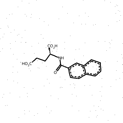 O=C(O)CC[C@H](NC(=O)c1ccc2ccccc2c1)C(=O)O